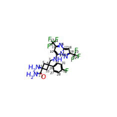 NC(=O)C1(N)CC(CNc2cc(C(F)(F)F)nc3cc(C(F)(F)F)nn23)(c2ccc(F)cc2)C1